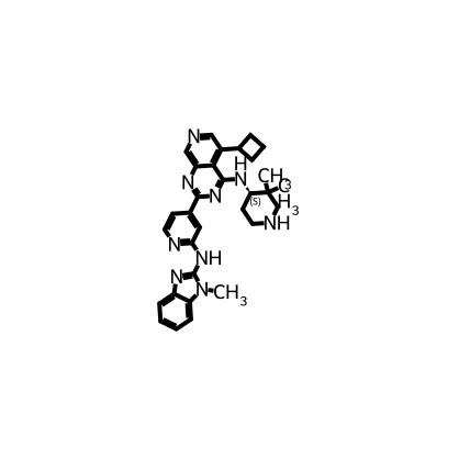 Cn1c(Nc2cc(-c3nc(N[C@H]4CCNCC4(C)C)c4c(C5CCC5)cncc4n3)ccn2)nc2ccccc21